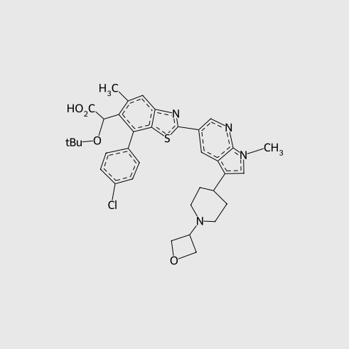 Cc1cc2nc(-c3cnc4c(c3)c(C3CCN(C5COC5)CC3)cn4C)sc2c(-c2ccc(Cl)cc2)c1C(OC(C)(C)C)C(=O)O